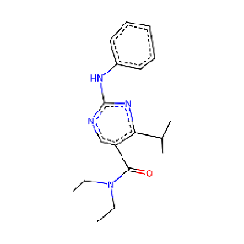 CCN(CC)C(=O)c1cnc(Nc2ccccc2)nc1C(C)C